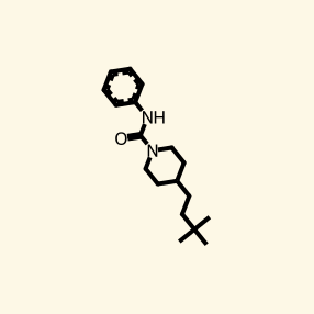 CC(C)(C)CCC1CCN(C(=O)Nc2ccccc2)CC1